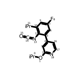 CC(C)Oc1cc(-c2cc(F)cc(C(C)C)c2N=C=O)ccn1